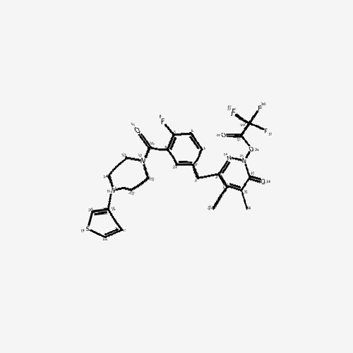 Cc1c(Cc2ccc(F)c(C(=O)N3CCN(c4ccsc4)CC3)c2)nn(OC(=O)C(F)(F)F)c(=O)c1C